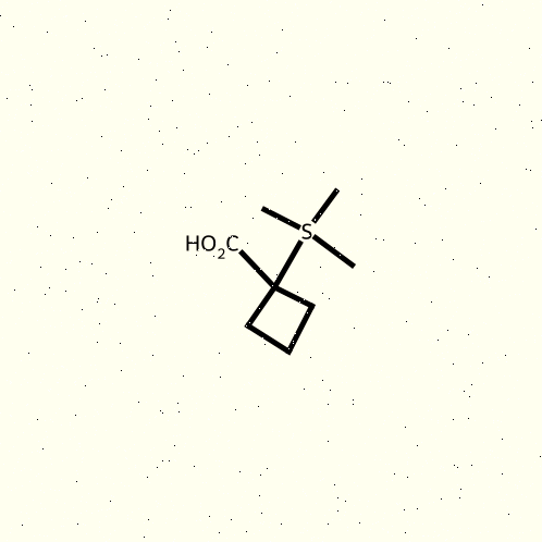 CS(C)(C)C1(C(=O)O)CCC1